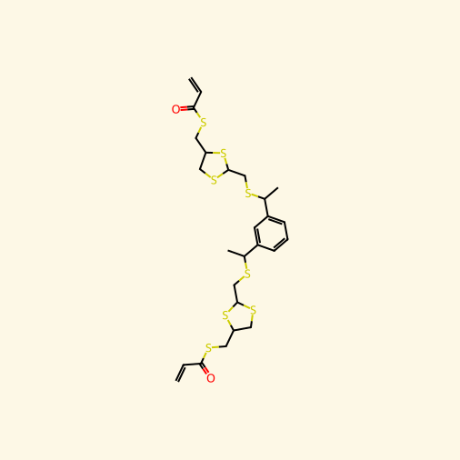 C=CC(=O)SCC1CSC(CSC(C)c2cccc(C(C)SCC3SCC(CSC(=O)C=C)S3)c2)S1